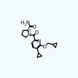 NC(=O)[C@@H]1CCCN1C(=O)c1ccc(C2CC2)c(OCC2CC2)n1